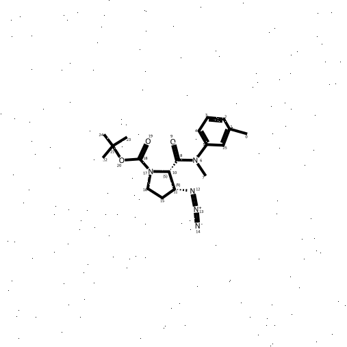 Cc1cccc(N(C)C(=O)[C@@H]2[C@H](N=[N+]=[N-])CCN2C(=O)OC(C)(C)C)c1